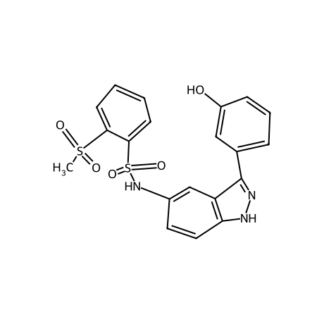 CS(=O)(=O)c1ccccc1S(=O)(=O)Nc1ccc2[nH]nc(-c3cccc(O)c3)c2c1